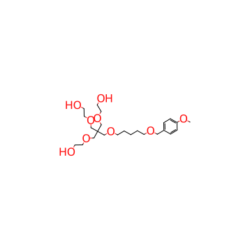 COc1ccc(COCCCCCOCC(COCCO)(COCCO)COCCO)cc1